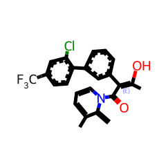 C=C1C(C)=CC=CN1C(=O)/C(=C(\C)O)c1cccc(-c2ccc(C(F)(F)F)cc2Cl)c1